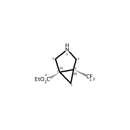 CCOC(=O)[C@]12CNC[C@@]1(C(F)(F)F)C2